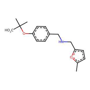 Cc1ccc(CNCc2ccc(OC(C)(C)C(=O)O)cc2)o1